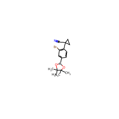 CC1(C)OB(c2ccc(C3(C#N)CC3)c(Br)c2)OC1(C)C